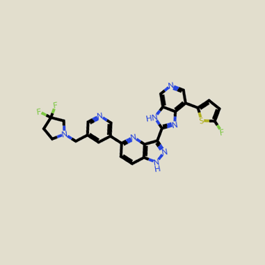 Fc1ccc(-c2cncc3[nH]c(-c4n[nH]c5ccc(-c6cncc(CN7CCC(F)(F)C7)c6)nc45)nc23)s1